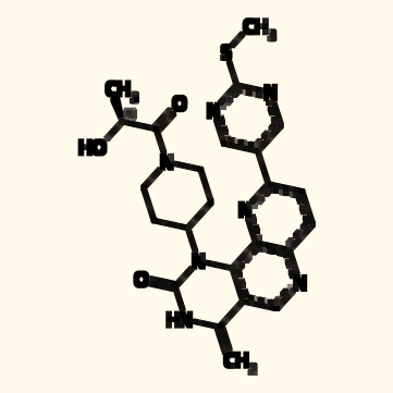 C=C1NC(=O)N(C2CCN(C(=O)[C@H](C)O)CC2)c2c1cnc1ccc(-c3cnc(SC)nc3)nc21